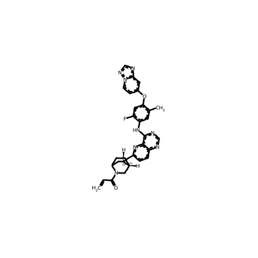 C=CC(=O)N1C[C@H]2CCC1C[C@@H]2c1ccc2ncnc(Nc3cc(C)c(Oc4ccn5ncnc5c4)cc3F)c2n1